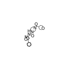 O=C(Nc1cc(-c2ccccc2)on1)N1CCCN(C(=O)C2CCOCC2)CC1